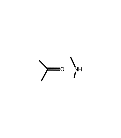 CC(C)=O.CNC